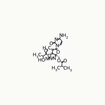 CC(C)C(=O)OC[C@@]1(N=[N+]=[N-])O[C@@H](n2ccc(N)nc2=O)[C@@H](C)[C@@H]1OC(=O)C(C)O